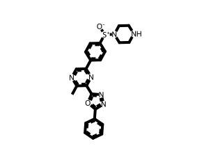 Cc1ncc(-c2ccc([S+]([O-])N3CCNCC3)cc2)nc1-c1nnc(-c2ccccc2)o1